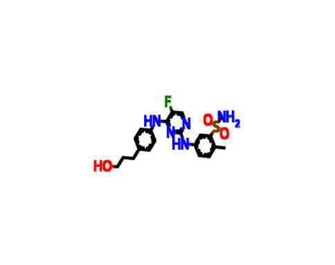 Cc1ccc(Nc2ncc(F)c(Nc3ccc(CCCO)cc3)n2)cc1S(N)(=O)=O